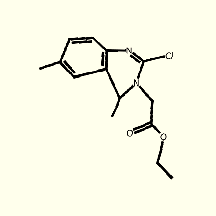 CCOC(=O)CN1C(Cl)=Nc2ccc(C)cc2C1C